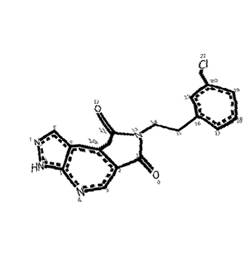 O=C1c2cnc3[nH]ncc3c2C(=O)N1CCc1cccc(Cl)c1